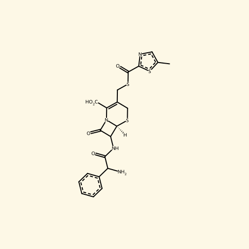 Cc1cnc(C(=O)SCC2=C(C(=O)O)N3C(=O)C(NC(=O)C(N)c4ccccc4)[C@@H]3SC2)s1